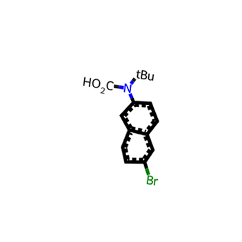 CC(C)(C)N(C(=O)O)c1ccc2cc(Br)ccc2c1